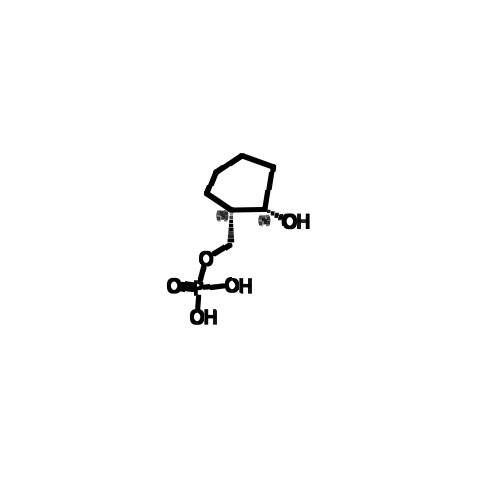 O=P(O)(O)OC[C@@H]1CCCC[C@@H]1O